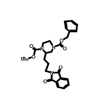 CC(C)(C)OC(=O)N1CCN(C(=O)OCc2ccccc2)CC1CCCN1C(=O)c2ccccc2C1=O